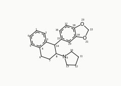 c1ccc2c(c1)CCC(N1CCCC1)C2c1ccc2c(c1)OCO2